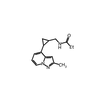 CCC(=O)NCC1CC1c1cccn2nc(C)cc12